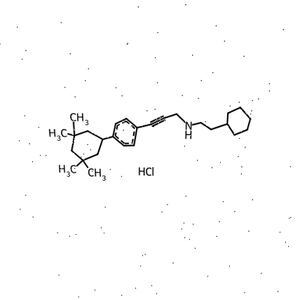 CC1(C)CC(c2ccc(C#CCNCCC3CCCCC3)cc2)CC(C)(C)C1.Cl